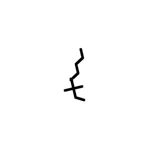 CCCCOC(C)(C)CC